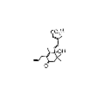 C=CCC1=C(C)[C@](O)(C=CC(C)=CC(=O)O)C(C)(C)CC1=O